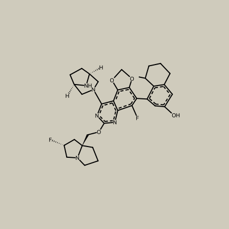 CC1CCCc2cc(O)cc(-c3c4c(c5c(N6C[C@H]7CC[C@@H](C6)N7)nc(OC[C@@]67CCCN6C[C@H](F)C7)nc5c3F)OCO4)c21